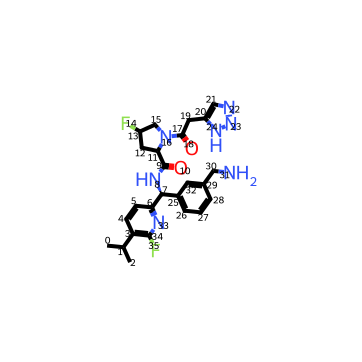 CC(C)c1ccc([C@@H](NC(=O)C2CC(F)CN2C(=O)Cc2cnn[nH]2)c2cccc(CN)c2)nc1F